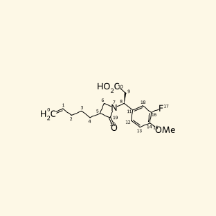 C=CCCCC1CN([C@@H](CC(=O)O)c2ccc(OC)c(F)c2)C1=O